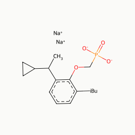 CCC(C)c1cccc(C(C)C2CC2)c1OCP(=O)([O-])[O-].[Na+].[Na+]